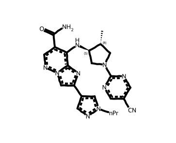 CCCn1cc(-c2cn3ncc(C(N)=O)c(N[C@@H]4CN(c5ncc(C#N)cn5)C[C@H]4C)c3n2)cn1